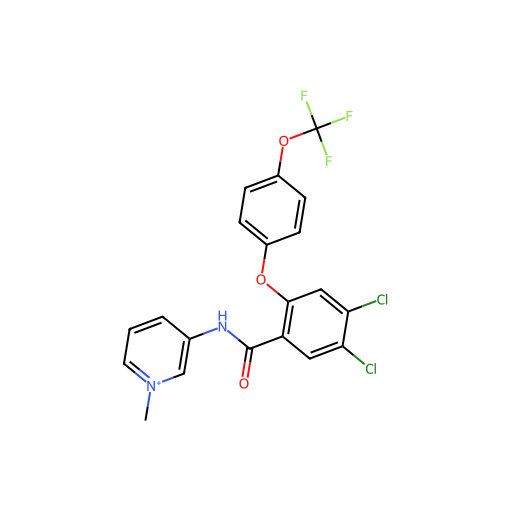 C[n+]1cccc(NC(=O)c2cc(Cl)c(Cl)cc2Oc2ccc(OC(F)(F)F)cc2)c1